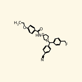 CCOc1ccc(C(=O)N[C@@H]2CCN(C(c3ccc(C#N)cc3)c3ccc(CF)cc3)C2)cc1